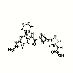 Cn1cc2cc(NC(=O)c3coc(N4CC[C@H](NC(=O)O)C4)n3)c(N3CCCCC3)nc2n1